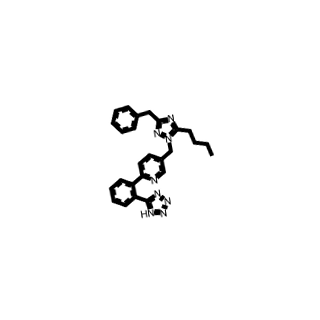 CCCCc1nc(Cc2ccccc2)nn1Cc1ccc(-c2ccccc2-c2nnn[nH]2)nc1